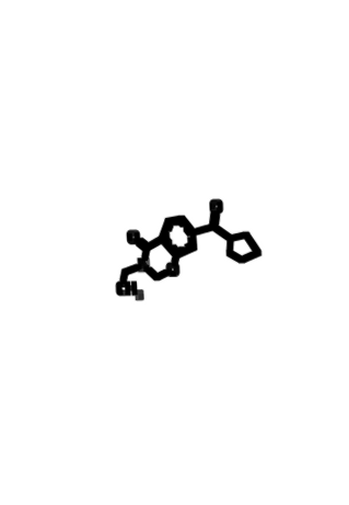 CCN1COc2cc(C(=O)C3CCCC3)ccc2C1=O